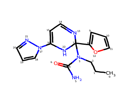 CCCN(C(N)=O)C1(c2ccco2)N=CC=C(n2cccn2)N1